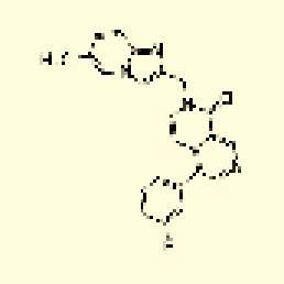 Cc1ccc2nc(Cn3ccc4c(-c5cccc(F)c5)cncc4c3=O)cn2c1